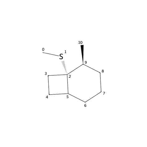 CS[C@@]12CCC1CCC[C@@H]2C